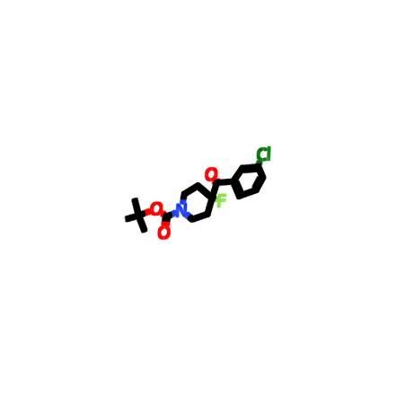 CC(C)(C)OC(=O)N1CCC(F)(C(=O)c2cccc(Cl)c2)CC1